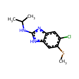 CSc1cc2[nH]c(NC(C)C)nc2cc1Cl